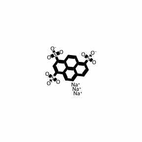 O=S(=O)([O-])c1ccc2ccc3c(S(=O)(=O)[O-])cc(S(=O)(=O)[O-])c4ccc1c2c34.[Na+].[Na+].[Na+]